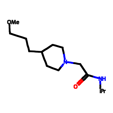 COCCCC1CCN(CC(=O)NC(C)C)CC1